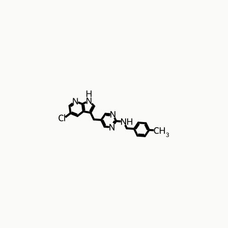 Cc1ccc(CNc2ncc(Cc3c[nH]c4ncc(Cl)cc34)cn2)cc1